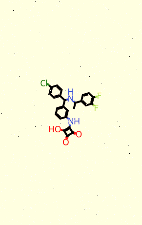 CC(NC(c1ccc(Cl)cc1)c1cccc(Nc2c(O)c(=O)c2=O)c1)c1ccc(F)c(F)c1